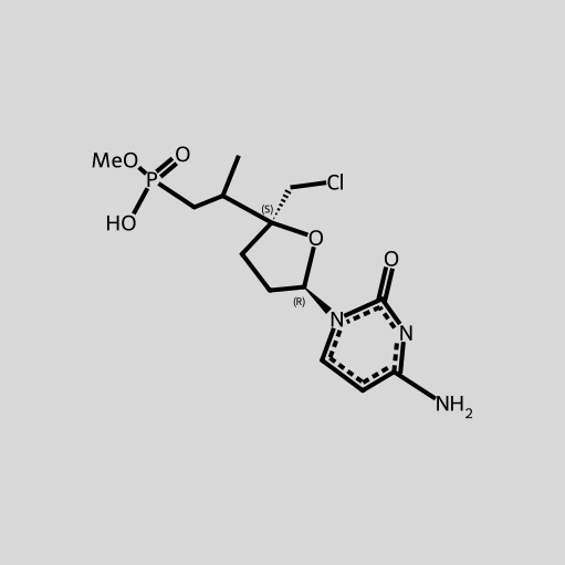 COP(=O)(O)CC(C)[C@]1(CCl)CC[C@H](n2ccc(N)nc2=O)O1